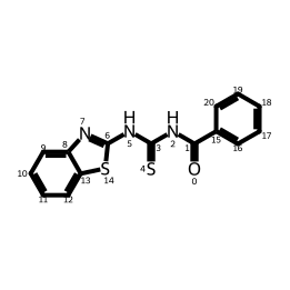 O=C(NC(=S)Nc1nc2ccccc2s1)c1ccccc1